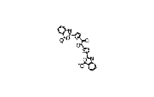 COC1OC(c2ccc(C(=O)C(=O)c3ccc(C4=Nc5ccccc5C(OC)O4)s3)s2)=Nc2ccccc21